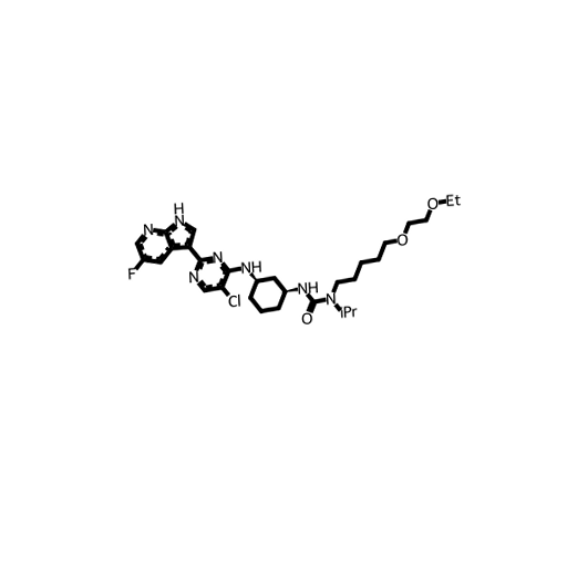 CCOCCOCCCCCN(C(=O)N[C@H]1CCC[C@@H](Nc2nc(-c3c[nH]c4ncc(F)cc34)ncc2Cl)C1)C(C)C